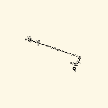 CN1C[C@H](C(=O)NCc2cn(CCOCCOCCOCCOCCOCCOCCOCCOCCOCCOCCOCCNC(O)CCCC[C@@H]3SC[C@@H]4NC(=O)N[C@@H]43)nn2)OC[C@@H]1Cc1ccc(Cl)cc1